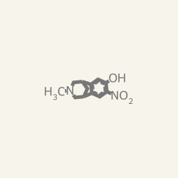 CN1CC2CC(C1)c1cc([N+](=O)[O-])c(O)cc12